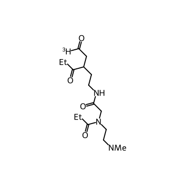 [3H]C(=O)CC(CCNC(=O)CN(CCNC)C(=O)CC)C(=O)CC